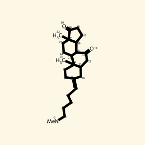 CNCCCC/C=C1\CCC2(C)C(CC(=O)C3C4CCC(=O)C4(C)CCC32)C1